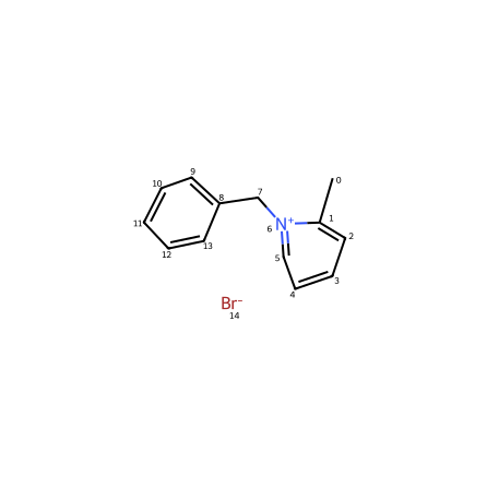 Cc1cccc[n+]1Cc1ccccc1.[Br-]